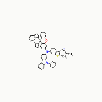 C=C/C=C\c1c(C)sc2cc(N(c3ccc4c(c3)Oc3ccccc3C43c4ccccc4-c4cccc5cccc3c45)c3ccc4c5ccccc5n(-c5ccccc5)c4c3)ccc12